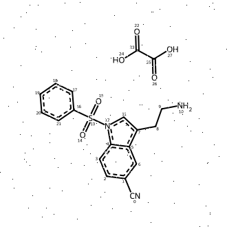 N#Cc1ccc2c(c1)c(CCN)cn2S(=O)(=O)c1ccccc1.O=C(O)C(=O)O